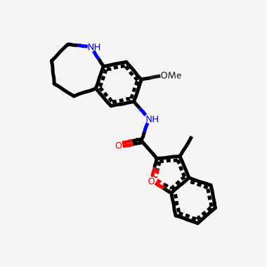 COc1cc2c(cc1NC(=O)c1oc3ccccc3c1C)CCCCN2